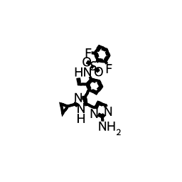 C=Cc1c(NS(=O)(=O)c2c(F)cccc2F)cccc1-c1nc(C2CC2)[nH]c1-c1ccnc(N)n1